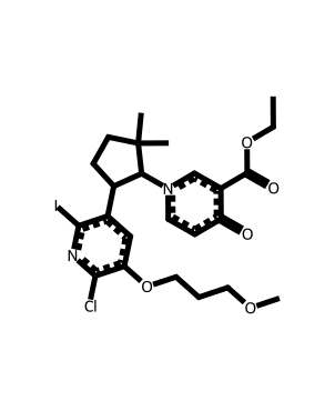 CCOC(=O)c1cn(C2C(c3cc(OCCCOC)c(Cl)nc3I)CCC2(C)C)ccc1=O